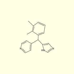 Cc1cccc(C(c2ccncc2)c2cnc[nH]2)c1C